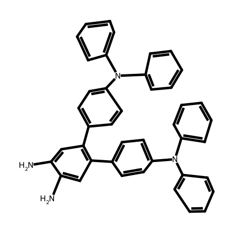 Nc1cc(-c2ccc(N(c3ccccc3)c3ccccc3)cc2)c(-c2ccc(N(c3ccccc3)c3ccccc3)cc2)cc1N